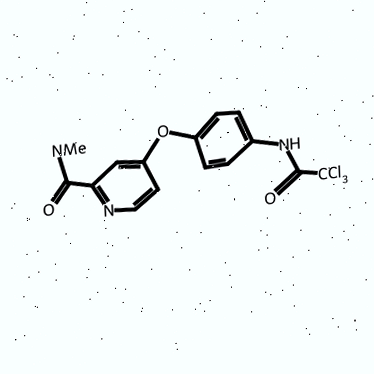 CNC(=O)c1cc(Oc2ccc(NC(=O)C(Cl)(Cl)Cl)cc2)ccn1